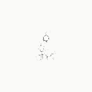 COC(=O)[C@H](Cc1ccc(O)cc1)NC(=O)C1(NC(=O)[C@@H](SC(C)=O)C(C)C)CC2CCC1C2